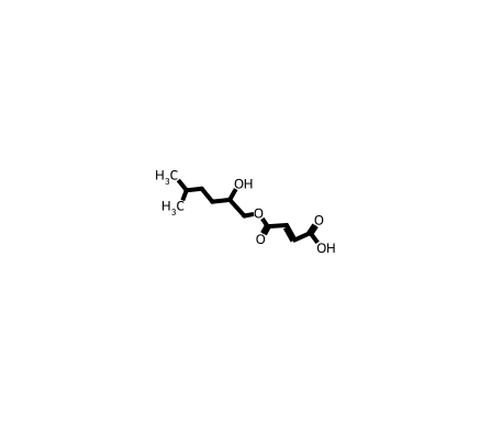 CC(C)CCC(O)COC(=O)C=CC(=O)O